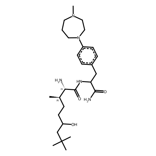 C[C@H](CCC(O)CC(C)(C)C)[C@H](N)C(=O)NC(Cc1ccc(N2CCCN(C)CC2)cc1)C(N)=O